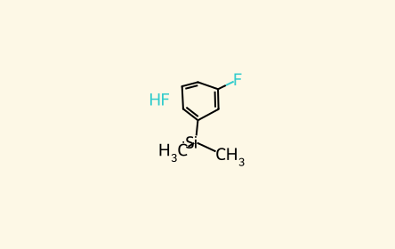 C[Si](C)c1cccc(F)c1.F